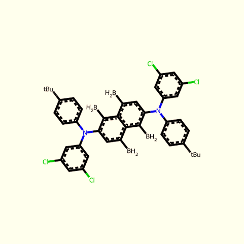 Bc1cc(N(c2ccc(C(C)(C)C)cc2)c2cc(Cl)cc(Cl)c2)c(B)c2c(B)cc(N(c3ccc(C(C)(C)C)cc3)c3cc(Cl)cc(Cl)c3)c(B)c12